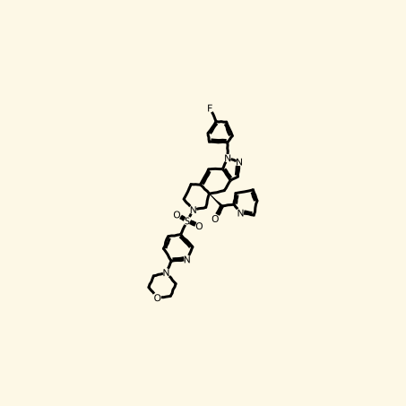 O=C(c1ccccn1)[C@]12Cc3cnn(-c4ccc(F)cc4)c3C=C1CCN(S(=O)(=O)c1ccc(N3CCOCC3)nc1)C2